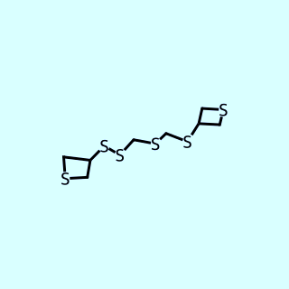 C(SCSC1CSC1)SSC1CSC1